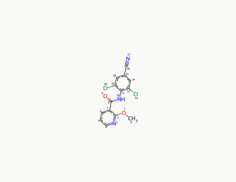 COc1ncccc1C(=O)Nc1c(Cl)cc(C#N)cc1Cl